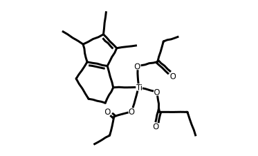 CCC(=O)[O][Ti]([O]C(=O)CC)([O]C(=O)CC)[CH]1CCCC2=C1C(C)=C(C)C2C